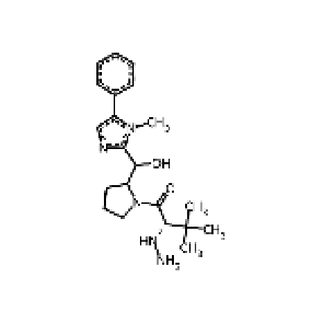 Cn1c(-c2ccccc2)cnc1C(O)C1CCCN1C(=O)[C@@H](NN)C(C)(C)C